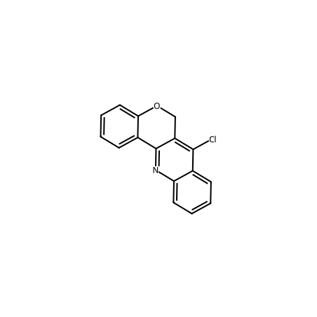 Clc1c2c(nc3ccccc13)-c1ccccc1OC2